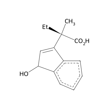 CC[C@@](C)(C(=O)O)C1=CC(O)c2ccccc21